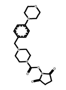 O=C(ON1C(=O)CCC1=O)N1CCN(Cc2ccc(N3CCOCC3)cc2)CC1